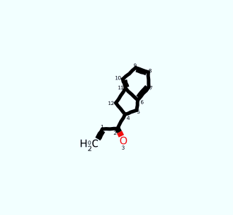 C=CC(=O)C1Cc2ccccc2C1